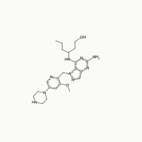 CCCC(CCO)Nc1nc(N)nc2cnn(Cc3ncc(N4CCNCC4)cc3OC)c12